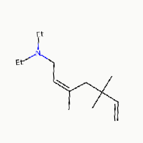 C=CC(C)(C)CC(C)=CCN(CC)CC